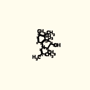 CC(C)=CN(c1ccc(C)c(C)c1C)[C@@H](C)CO